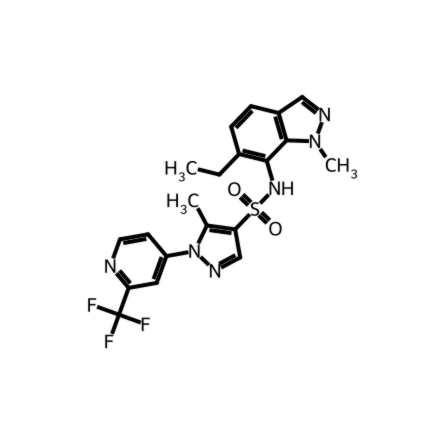 CCc1ccc2cnn(C)c2c1NS(=O)(=O)c1cnn(-c2ccnc(C(F)(F)F)c2)c1C